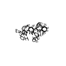 CCn1c(CO)nn(-c2nc(O[C@@H]3CCOC3)c(C(=O)Nc3c(F)cccc3Cl)cc2F)c1=O